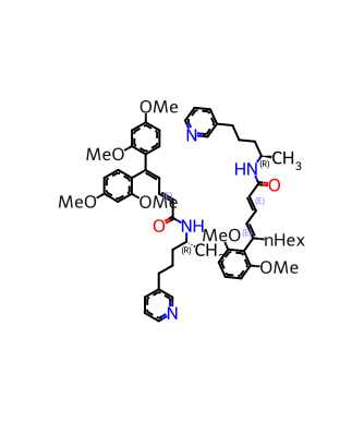 CCCCCC/C(=C\C=C\C(=O)N[C@H](C)CCCc1cccnc1)c1c(OC)cccc1OC.COc1ccc(C(=C/C=C/C(=O)N[C@H](C)CCCc2cccnc2)c2ccc(OC)cc2OC)c(OC)c1